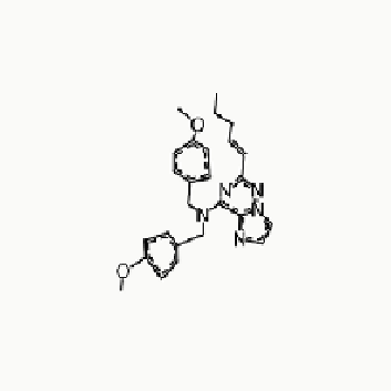 CCC/C=C/c1nc(N(Cc2ccc(OC)cc2)Cc2ccc(OC)cc2)c2nccn2n1